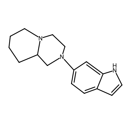 c1cc2ccc(N3CCN4CCCCC4C3)cc2[nH]1